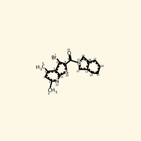 Cc1cc(C)c2c(Br)c(C(=O)n3cc4ccccc4c3)sc2n1